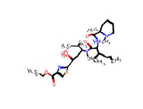 CCOC(=O)c1csc(C(O)CC(C(C)C)N(C)C(=O)C(NC(=O)[C@@]2(C)CCCCN2C)C(C)CC)n1